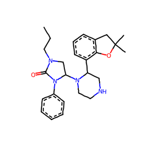 CCCN1CC(N2CCNCC2c2cccc3c2OC(C)(C)C3)N(c2ccccc2)C1=O